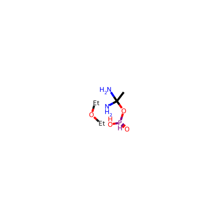 CC(N)(N)O[PH](=O)O.CCOCC